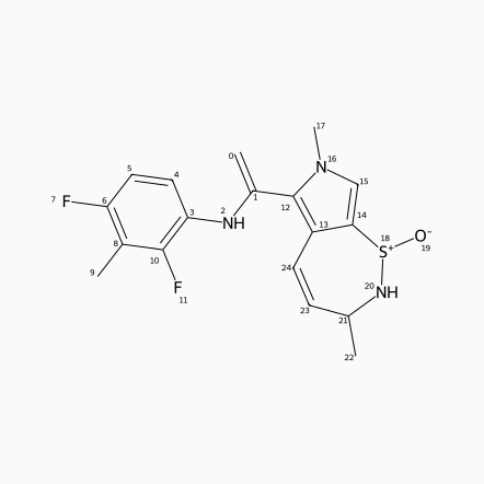 C=C(Nc1ccc(F)c(C)c1F)c1c2c(cn1C)[S+]([O-])NC(C)C=C2